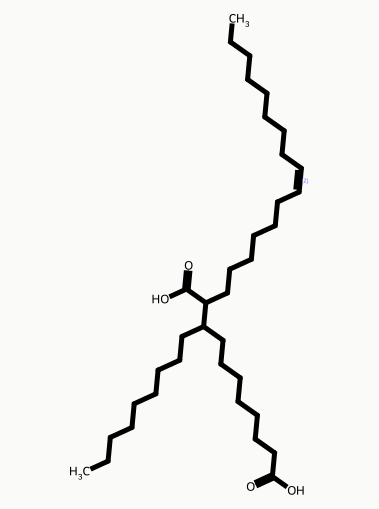 CCCCCCCC/C=C\CCCCCCC(C(=O)O)C(CCCCCCCCC)CCCCCCCC(=O)O